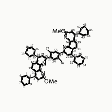 COc1cc(-c2ccccc2)c2ccc3c(-c4ccccc4)cc(-c4cc(C)c(-c5cc(-c6ccccc6)c6ccc7c(-c8ccccc8)cc(OC)nc7c6n5)cc4C)nc3c2n1